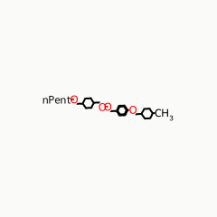 CCCCCOCC1CCC(COOCc2ccc(OCC3CCC(C)CC3)cc2)CC1